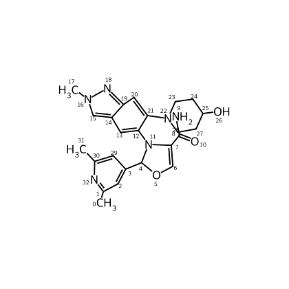 Cc1cc(C2OC=C(C(N)=O)N2c2cc3cn(C)nc3cc2N2CCC(O)CC2)cc(C)n1